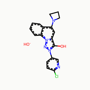 Oc1c2cc(N3CCC3)c3ccccc3[n+]2nn1-c1ccc(Cl)nc1.[OH-]